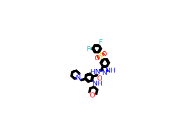 O=C(Nc1n[nH]c2ccc(S(=O)(=O)c3cc(F)cc(F)c3)cc12)c1ccc(CN2CCCCC2)cc1NC1CCOCC1